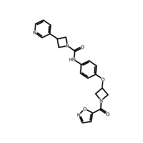 O=C(Nc1ccc(OC2CN(C(=O)c3ccno3)C2)cc1)N1CC(c2cccnc2)C1